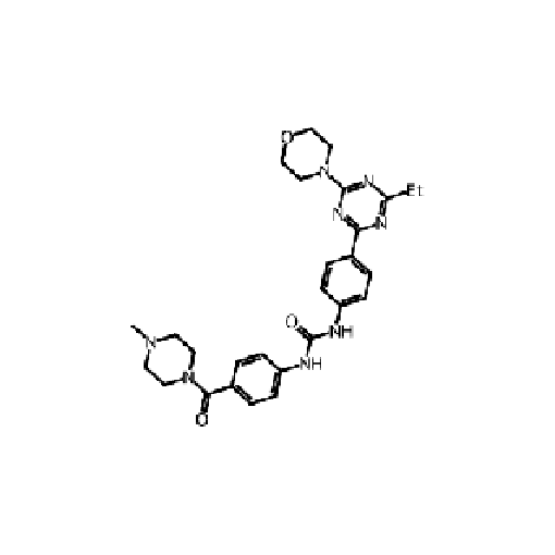 CCc1nc(-c2ccc(NC(=O)Nc3ccc(C(=O)N4CCN(C)CC4)cc3)cc2)nc(N2CCOCC2)n1